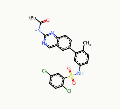 Cc1ccc(NS(=O)(=O)c2cc(Cl)ccc2Cl)cc1-c1ccc2nc(NC(=O)C(C)(C)C)ncc2c1